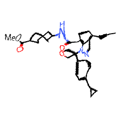 CC#Cc1ccc(C(=O)NC2CC3(C2)CC(C(=O)OC)C3)c2c1cnn2C1(c2ccc(C3CC3)cc2)COC1